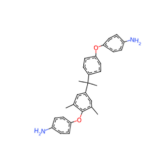 Cc1cc(C(C)(C)c2ccc(Oc3ccc(N)cc3)cc2)cc(C)c1Oc1ccc(N)cc1